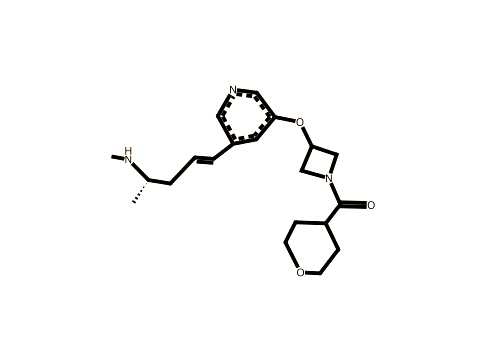 CN[C@@H](C)C/C=C/c1cncc(OC2CN(C(=O)C3CCOCC3)C2)c1